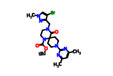 Cc1cc(C)nc(N2CCC3(CC2)C(=O)N(Cc2nn(C)cc2Br)CCN3C(=O)OC(C)(C)C)n1